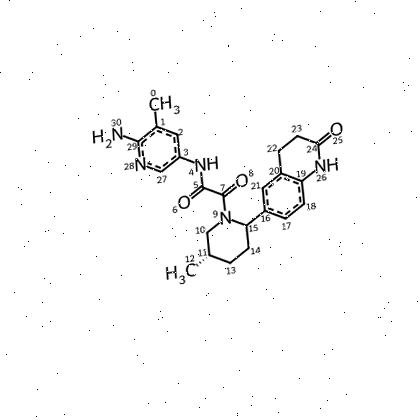 Cc1cc(NC(=O)C(=O)N2C[C@@H](C)CCC2c2ccc3c(c2)CCC(=O)N3)cnc1N